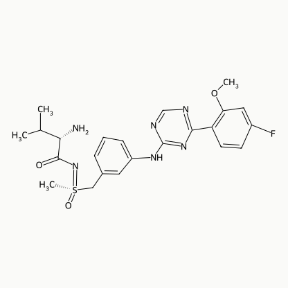 COc1cc(F)ccc1-c1ncnc(Nc2cccc(C[S@@](C)(=O)=NC(=O)[C@@H](N)C(C)C)c2)n1